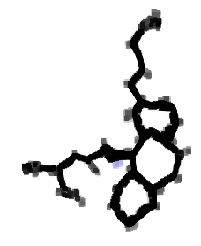 CN(C)CC/C=C1\c2ccccc2COc2ccc(CCCO)cc21